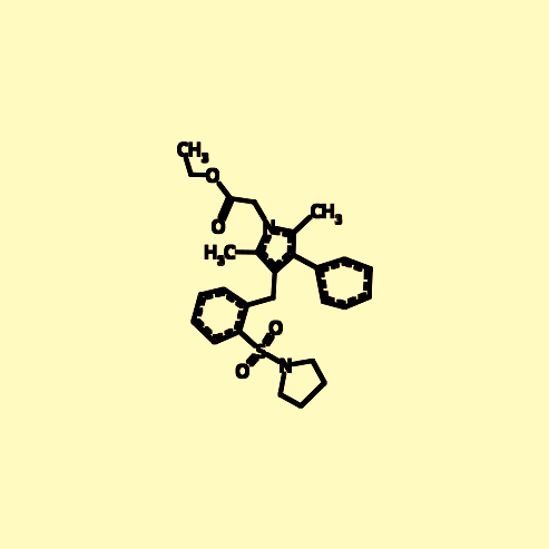 CCOC(=O)Cn1c(C)c(Cc2ccccc2S(=O)(=O)N2CCCC2)c(-c2ccccc2)c1C